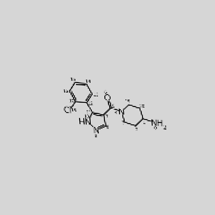 NC1CCN(C(=O)c2cn[nH]c2-c2ccccc2Cl)CC1